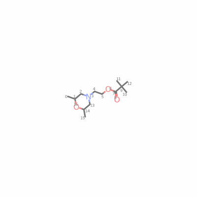 CC1CN(CCOC(=O)C(C)(C)C)CC(C)O1